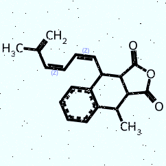 C=C(C)/C=C\C=C/C1c2ccccc2C(C)C2C(=O)OC(=O)C12